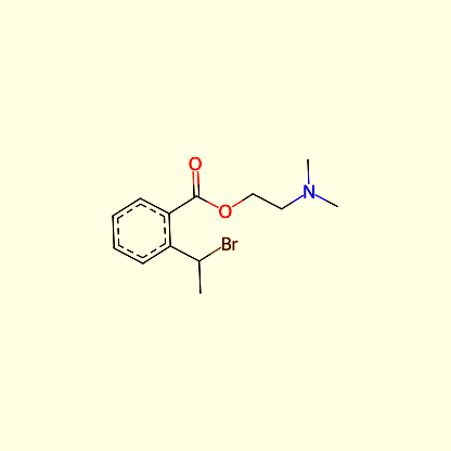 CC(Br)c1ccccc1C(=O)OCCN(C)C